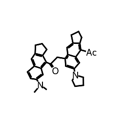 CC(=O)c1c2c(cc3c(CC(=O)c4c5c(cc6ccc(N(C)C)cc46)CCC5)cc(N4CCCC4)cc13)CCC2